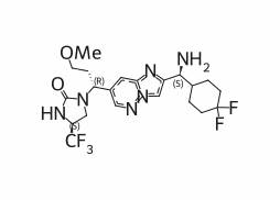 COCC[C@H](c1cnn2cc([C@@H](N)C3CCC(F)(F)CC3)nc2c1)N1C[C@@H](C(F)(F)F)NC1=O